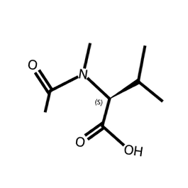 CC(=O)N(C)[C@H](C(=O)O)C(C)C